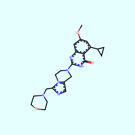 COc1cc(C2CC2)c2c(=O)[nH]c(N3CCn4c(cnc4CN4CCOCC4)C3)nc2c1